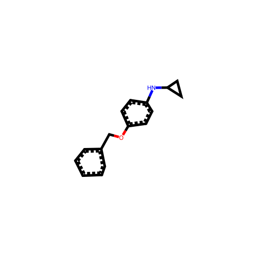 c1ccc(COc2ccc(NC3CC3)cc2)cc1